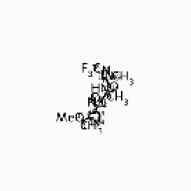 CO[C@@H](C)c1cc(-c2noc([C@H](C)NC(=O)c3cc(C(F)(F)F)nn3C)n2)ccn1